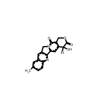 CCC1(O)C(=O)OCc2c1cc1n(c2=O)Cc2cc3cc(C)ccc3nc2-1